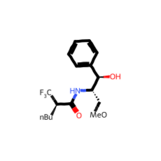 CCCC[C@H](C(=O)N[C@@H](COC)[C@H](O)c1ccccc1)C(F)(F)F